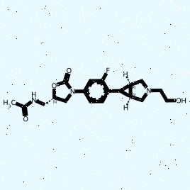 CC(=O)NC[C@H]1CN(c2ccc(C3[C@H]4CN(CCO)C[C@@H]34)c(F)c2)C(=O)O1